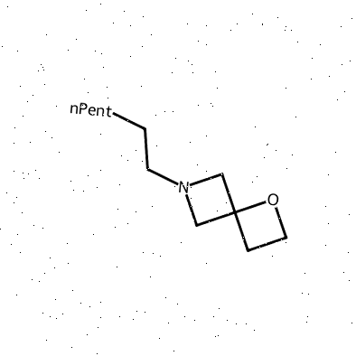 CCCCCCCN1CC2(CCO2)C1